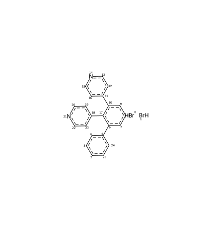 Br.Br.c1ccc(-c2cccc(-c3ccncc3)c2-c2ccncc2)cc1